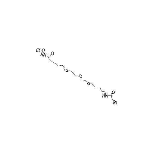 CCONC(=O)CCCCOCCOCCOCCCCCNC(=O)C(C)C